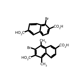 Cc1c(Br)c(C(=O)O)c(C)c2ccc(C(=O)O)cc12.O=C(O)c1ccc2c(Br)c(C(=O)O)ccc2c1